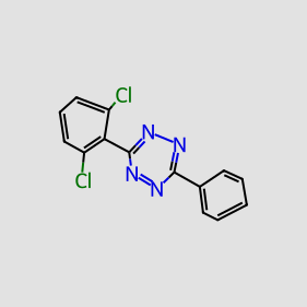 Clc1cccc(Cl)c1-c1nnc(-c2ccccc2)nn1